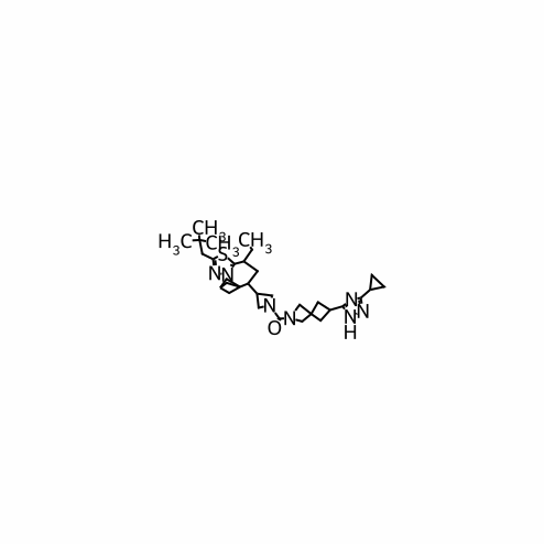 CCC(CC(C1CN(C(=O)N2CC3(CC(c4nc(C5CC5)n[nH]4)C3)C2)C1)C12CC(C1)C2)c1nnc(CC(C)(C)C)s1